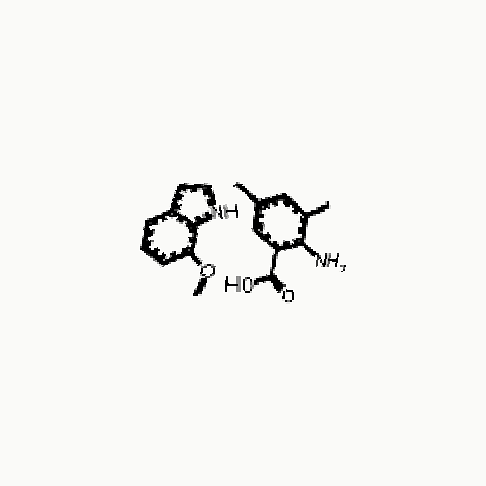 COc1cccc2cc[nH]c12.Cc1cc(C)c(N)c(C(=O)O)c1